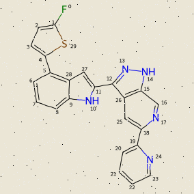 Fc1ccc(-c2cccc3[nH]c(-c4n[nH]c5cnc(-c6ccccn6)cc45)cc23)s1